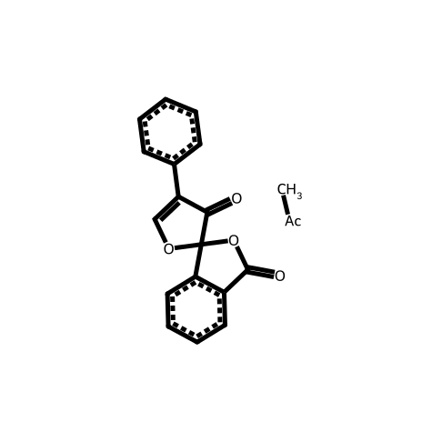 CC(C)=O.O=C1OC2(OC=C(c3ccccc3)C2=O)c2ccccc21